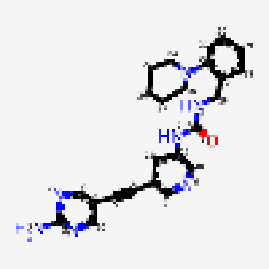 Nc1ncc(C#Cc2cncc(NC(=O)NCc3ccccc3N3CCCCC3)c2)cn1